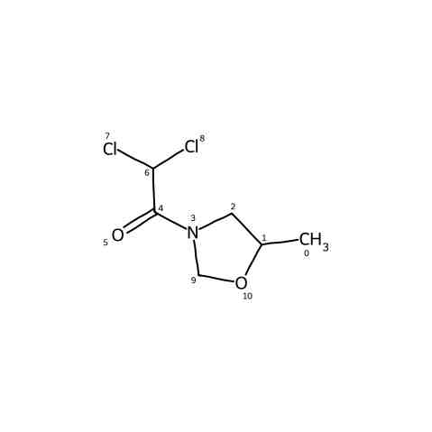 CC1CN(C(=O)C(Cl)Cl)CO1